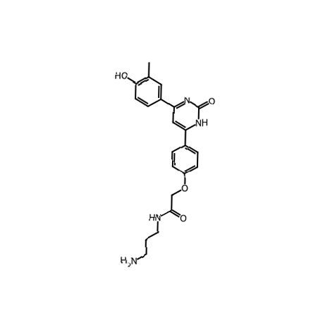 Cc1cc(-c2cc(-c3ccc(OCC(=O)NCCCN)cc3)[nH]c(=O)n2)ccc1O